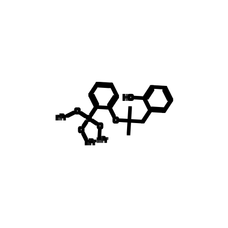 CCCO[Si](OCCC)(OCCC)c1ccccc1OC(C)(C)Cc1ccccc1O